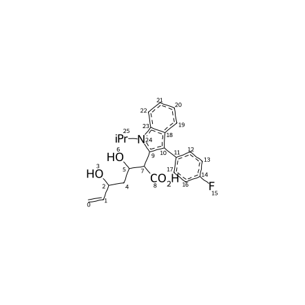 C=CC(O)CC(O)C(C(=O)O)c1c(-c2ccc(F)cc2)c2ccccc2n1C(C)C